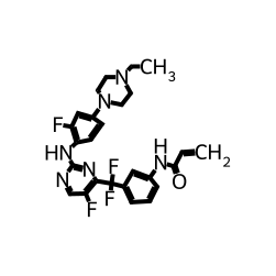 C=CC(=O)Nc1cccc(C(F)(F)c2nc(Nc3ccc(N4CCN(CC)CC4)cc3F)ncc2F)c1